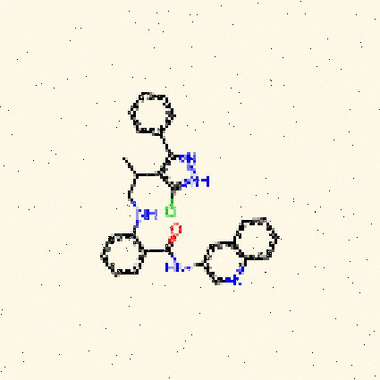 CC(CNc1ccccc1C(=O)Nc1cnc2ccccc2c1)c1c(-c2ccccc2)n[nH]c1Cl